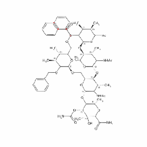 CC(=O)NC1[C@H](O[C@@H]2C(CO[C@@H]3OC(COCc4ccccc4)[C@@H](C)[C@H](C)C3OCc3ccccc3)O[C@@H](OC3[C@H](C)OC(C(N)=O)[C@@](C)(O)[C@@H]3OC(N)=O)C(NC(C)=O)[C@H]2C)OC(C)[C@@H](O[C@@H]2OC(C(C)=O)[C@H](C)[C@H](C)C2OC(=O)c2ccccc2)[C@@H]1C